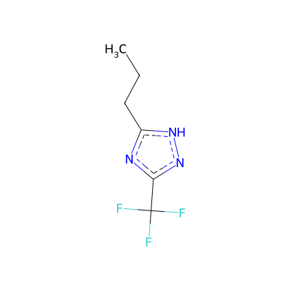 CCCc1nc(C(F)(F)F)n[nH]1